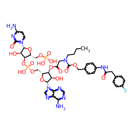 CCCCN(CC(=O)O[C@H]1[C@@H](O)[C@H](n2cnc3c(N)ncnc32)O[C@@H]1COP(=O)(O)O[C@H]1[C@@H](O)[C@H](n2ccc(N)nc2=O)O[C@@H]1COP(=O)(O)O)C(=O)OCc1ccc(NC(=O)Cc2ccc(F)cc2)cc1